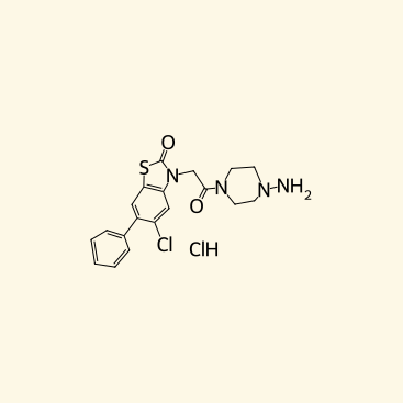 Cl.NN1CCN(C(=O)Cn2c(=O)sc3cc(-c4ccccc4)c(Cl)cc32)CC1